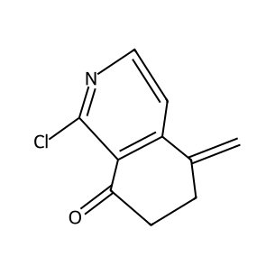 C=C1CCC(=O)c2c1ccnc2Cl